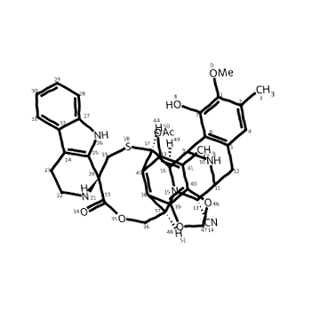 COc1c(C)cc2c(c1O)C1NC(C2)[C@H](C#N)N2[C@H]1[C@@H]1SC[C@]3(NCCc4c3[nH]c3ccccc43)C(=O)OC[C@H]2c2c3c(c(C)c(OC(C)=O)c21)OCO3